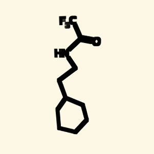 O=C(NCCC1CCCCC1)C(F)(F)F